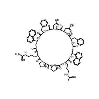 CC(=N)NCCCC1NC(=O)[C@H]2CCCN2C(=O)[C@@H]2CCCN2C(=O)C(CCCNC(=N)N)NC(=O)CC(c2cccc3ccccc23)NC(=O)C(Cc2ccccc2)NC(=O)C(CC(=O)O)NC(=O)C(CC(=O)O)NC(=O)C(Cc2ccccc2)NC(=O)CC(c2cccc3ccccc23)NC1=O